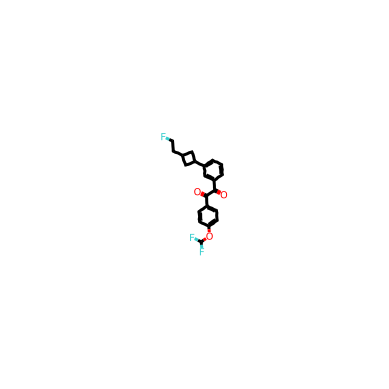 O=C(C(=O)c1cccc(C2CC(CCF)C2)c1)c1ccc(OC(F)F)cc1